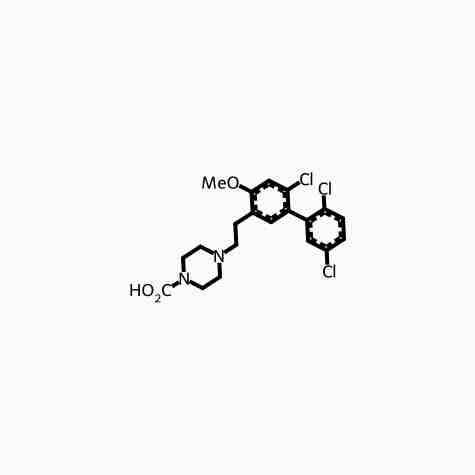 COc1cc(Cl)c(-c2cc(Cl)ccc2Cl)cc1CCN1CCN(C(=O)O)CC1